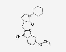 COC1=CC2SC(CC3CCN(C4CCCCC4)C3=O)=C(Cl)C2C=C1